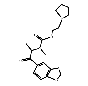 CC(C(=O)c1ccc2c(c1)OCO2)N(C)C(=O)OCCN1CCCC1